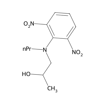 CCCN(CC(C)O)c1c([N+](=O)[O-])cccc1[N+](=O)[O-]